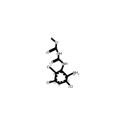 COC(=O)NC(=S)Nc1c(N)c(Cl)cc(Cl)c1Cl